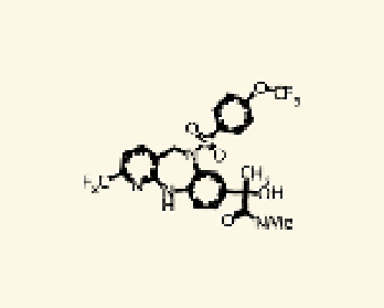 CNC(=O)C(C)(O)c1ccc2c(c1)N(S(=O)(=O)c1ccc(OC(F)(F)F)cc1)Cc1ccc(C(F)(F)F)nc1N2